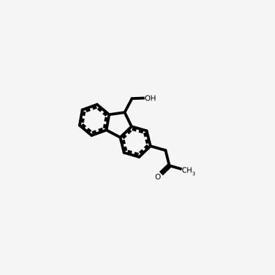 CC(=O)Cc1ccc2c(c1)C(CO)c1ccccc1-2